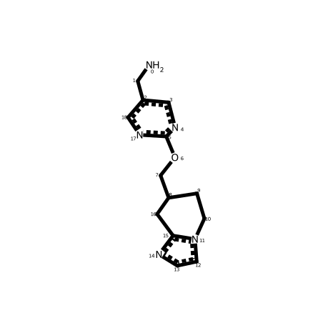 NCc1cnc(OCC2CCn3ccnc3C2)nc1